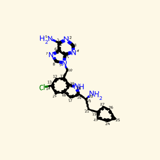 Nc1ncnc2c1ncn2Cc1cc(Cl)cc2cc(C(N)Cc3ccccc3)[nH]c12